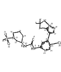 CC1(C)Cc2c(-c3cc(NC(=O)N[C@@H]4CCCN(S(C)(=O)=O)C4)ncc3Cl)cnn2C1